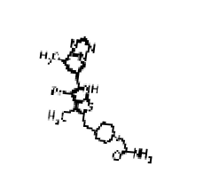 Cc1c(CC2CCN(CC(N)=O)CC2)sc2[nH]c(-c3cc(C)c4ncnn4c3)c(C(C)C)c12